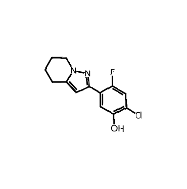 Oc1cc(-c2cc3n(n2)CCCC3)c(F)cc1Cl